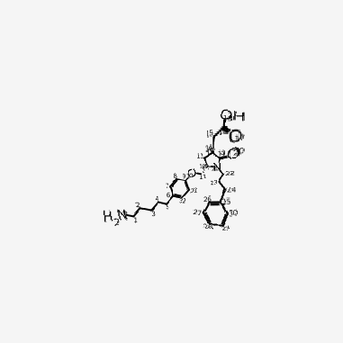 NCCCCCc1ccc(OC[C@@H]2C[C@@H](CC(=O)O)C(=O)N2CCCc2ccccc2)cc1